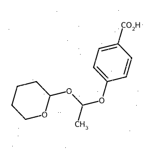 CC(Oc1ccc(C(=O)O)cc1)OC1CCCCO1